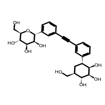 OC[C@H]1C[C@H](c2cccc(C#Cc3cccc([C@H]4O[C@H](CO)[C@@H](O)[C@H](O)[C@@H]4O)c3)c2)[C@@H](O)[C@@H](O)[C@@H]1O